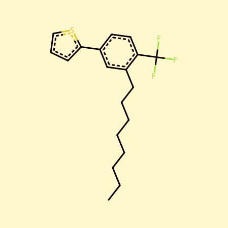 CCCCCCCCc1cc(-c2cccs2)ccc1C(F)(F)F